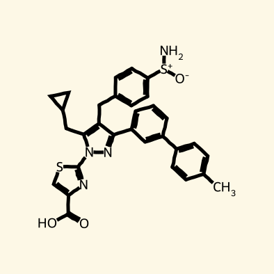 Cc1ccc(-c2cccc(-c3nn(-c4nc(C(=O)O)cs4)c(CC4CC4)c3Cc3ccc([S+](N)[O-])cc3)c2)cc1